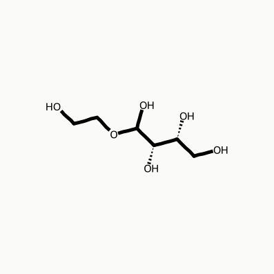 OCCOC(O)[C@@H](O)[C@H](O)CO